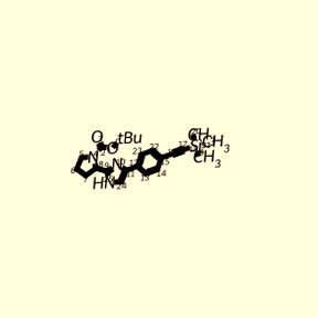 CC(C)(C)OC(=O)N1CCCC1c1nc(-c2ccc(C#C[Si](C)(C)C)cc2)c[nH]1